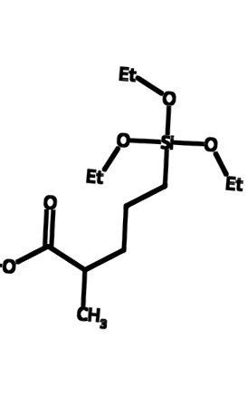 CCO[Si](CCCC(C)C([O])=O)(OCC)OCC